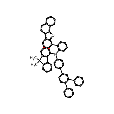 CC1(C)c2ccccc2-c2c(N(c3ccc(-c4ccc(-c5ccccc5)c(-c5ccccc5)c4)cc3)c3ccccc3-c3cccc4c3oc3c5ccccc5ccc43)cccc21